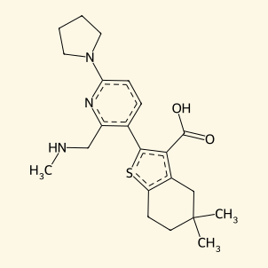 CNCc1nc(N2CCCC2)ccc1-c1sc2c(c1C(=O)O)CC(C)(C)CC2